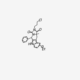 CCOc1ccc2[nH]c3c(c2c1)CC1(C)C(=O)N(CCCCl)C(=O)N1C3c1ccccc1